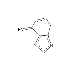 N=C1C=CCn2nccc21